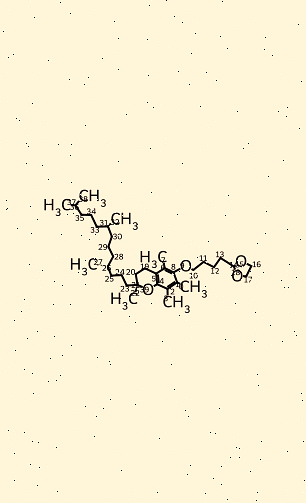 Cc1c(C)c2c(c(C)c1OCCCCC1OCCO1)CC[C@@](C)(CCC[C@H](C)CCC[C@H](C)CCCC(C)C)O2